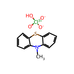 CN1c2ccccc2Sc2ccccc21.[O-][Cl+3]([O-])([O-])O